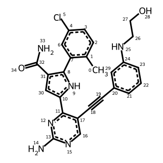 Cc1ccc(Cl)cc1-c1[nH]c(-c2nc(N)ncc2C#Cc2cccc(NCCO)c2)cc1C(N)=O